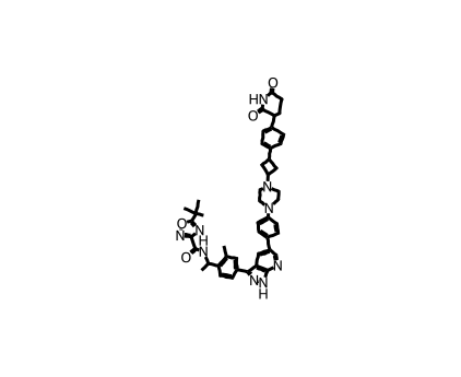 Cc1cc(-c2n[nH]c3ncc(-c4ccc(N5CCN(C6CC(c7ccc(C8CCC(=O)NC8=O)cc7)C6)CC5)cc4)cc23)ccc1C(C)NC(=O)c1noc(C(C)(C)C)n1